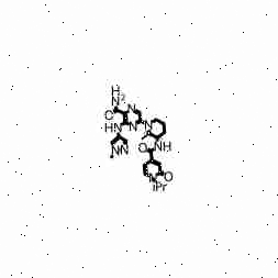 CC(C)n1ccc(C(=O)N[C@@H]2CCCN(c3cnc(C(N)=O)c(Nc4cnn(C)c4)n3)[C@@H]2C)cc1=O